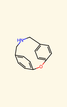 c1cc2ccc1CNCc1ccc(cc1)O2